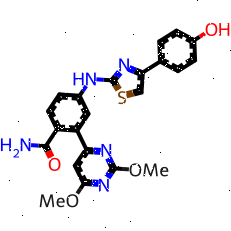 COc1cc(-c2cc(Nc3nc(-c4ccc(O)cc4)cs3)ccc2C(N)=O)nc(OC)n1